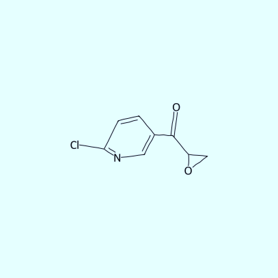 O=C(c1ccc(Cl)nc1)C1CO1